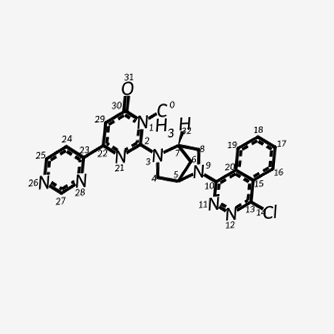 Cn1c(N2CC3C[C@H]2CN3c2nnc(Cl)c3ccccc23)nc(-c2ccncn2)cc1=O